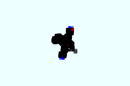 Cc1cc(-c2ccncc2)ccc1-c1c2ccccc2c(-c2ccc(-c3ccncc3)cc2C)c2cc(-c3cccc4ccccc34)ccc12